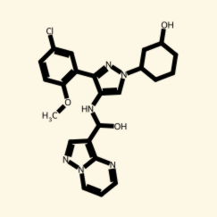 COc1ccc(Cl)cc1-c1nn(C2CCCC(O)C2)cc1NC(O)c1cnn2cccnc12